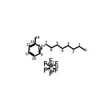 CCCCCCCC[n+]1ccccc1C.F[P-](F)(F)(F)(F)F